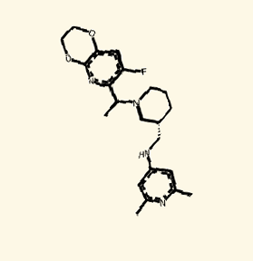 Cc1cc(NC[C@H]2CCCN(C(C)c3nc4c(cc3F)OCCO4)C2)cc(C)n1